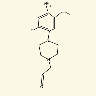 COc1cc(N2CCN(CC=O)CC2)c(F)cc1N